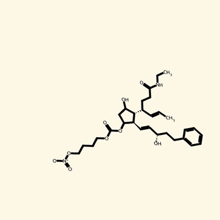 CC=CC(CCC(=O)NCC)[C@H]1C(O)CC(OC(=O)OCCCCO[N+](=O)[O-])[C@@H]1C=C[C@@H](O)CCc1ccccc1